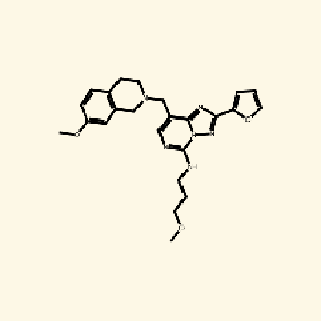 COCCCNc1ncc(CN2CCc3ccc(OC)cc3C2)c2nc(-c3ccco3)nn12